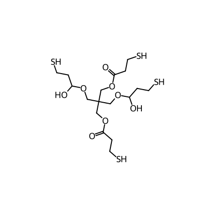 O=C(CCS)OCC(COC(=O)CCS)(COC(O)CCS)COC(O)CCS